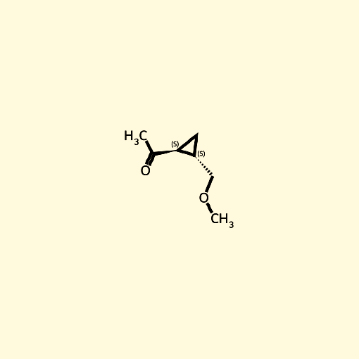 COC[C@H]1C[C@@H]1C(C)=O